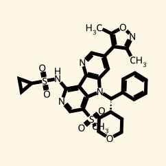 Cc1noc(C)c1-c1cnc2c3c(NS(=O)(=O)C4CC4)ncc(S(C)(=O)=O)c3n([C@H](c3ccccc3)C3CCOCC3)c2c1